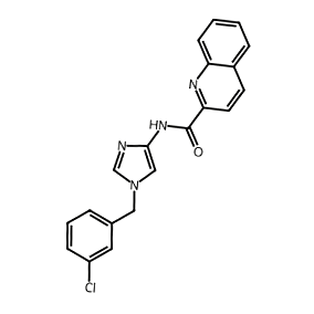 O=C(Nc1cn(Cc2cccc(Cl)c2)cn1)c1ccc2ccccc2n1